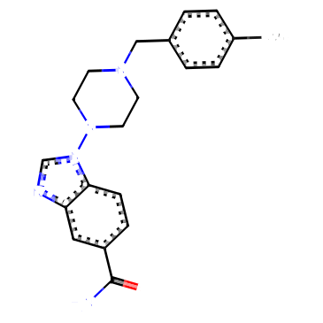 CSc1ccc(CN2CCN(n3cnc4cc(C(N)=O)ccc43)CC2)cc1